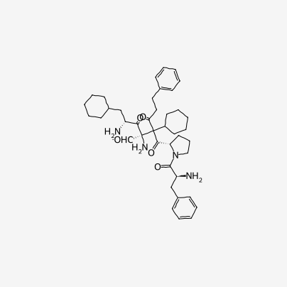 N[C@H](CC1CCCCC1)C(=O)[C@@](N)([C]=O)C(C(=O)CCc1ccccc1)(C(=O)[C@@H]1CCCN1C(=O)[C@@H](N)Cc1ccccc1)C1CCCCC1